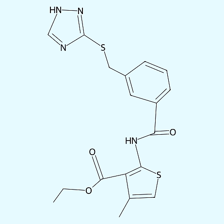 CCOC(=O)c1c(C)csc1NC(=O)c1cccc(CSc2nc[nH]n2)c1